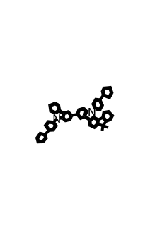 CC1(C)c2ccccc2-c2c1ccc1c3cc(-c4ccc5c(c4)c4ccccc4n5-c4ccc(-c5ccccc5)cc4)ccc3n(-c3ccc(-c4ccccc4)cc3)c21